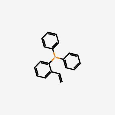 C=Cc1ccccc1P(c1ccccc1)c1ccccc1